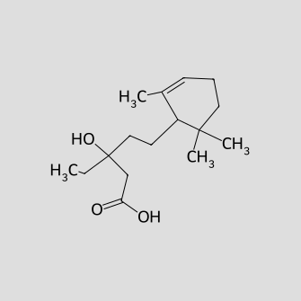 CCC(O)(CCC1C(C)=CCCC1(C)C)CC(=O)O